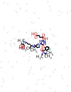 CCN(C(=O)c1cc(F)ccc1Oc1nncnc1N1CCC2(C1)CN([C@H](CCCN(C)C(CO)CO)C(C)C)C2)C(C)C.O=C(O)/C=C/C(=O)O